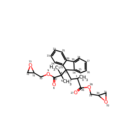 CC(CC1(C(C)(C)C(=O)OCC2CO2)c2ccccc2-c2ccccc21)C(=O)OCC1CO1